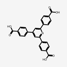 O=C(O)c1ccc(-c2cc(-c3ccc(C(=O)O)cc3)nc(-c3ccc(C(=O)O)cc3)c2)cc1